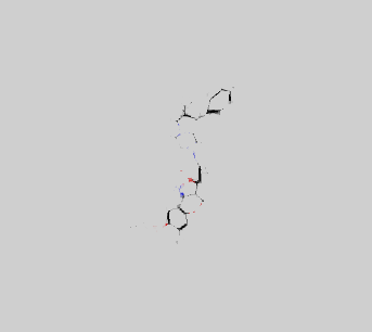 COc1cc2c(cc1C)OCC1C2=NOC1CN1CCN(CC(C)=Cc2ccccc2)CC1